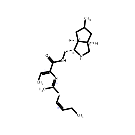 C/C=C(\N=C(/C)S/C=C\CC)C(=O)NC[C@H]1NC[C@@H]2CC(C)C[C@@H]21